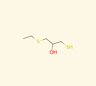 CCSCC(O)CS